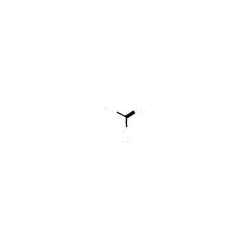 C=C(C)Cl.[Zn]